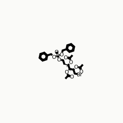 CC(=O)OC(CBr)[C@@H](OC(C)=O)[C@@H](CCOP(=O)(OCc1ccccc1)OCc1ccccc1)OC(C)=O